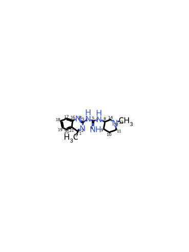 Cc1nc(NC(=N)NC2CCCN(C)C2)nc2ccccc12